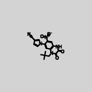 CC(C)(C)Cn1c(=O)c(=O)[nH]c2cc([N+](=O)[O-])c(-n3ccc(C#N)c3)cc21